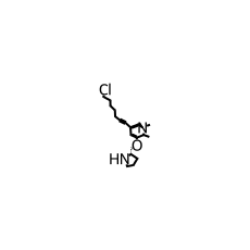 CC1C(OC[C@@H]2CCCN2)=CC(C#CCCCCCCl)=CN1C